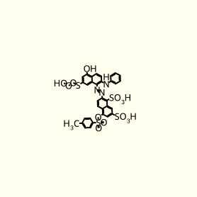 Cc1ccc(S(=O)(=O)Oc2cc(S(=O)(=O)O)cc3c(S(=O)(=O)O)c(N=Nc4c(Nc5ccccc5)ccc5c(O)cc(SOOO)cc45)ccc23)cc1